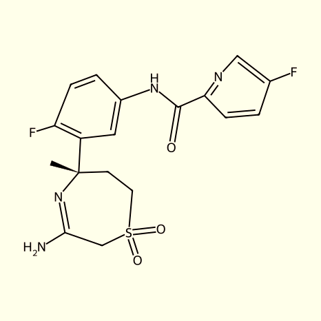 C[C@@]1(c2cc(NC(=O)c3ccc(F)cn3)ccc2F)CCS(=O)(=O)CC(N)=N1